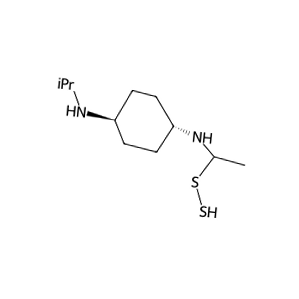 CC(C)N[C@H]1CC[C@H](NC(C)SS)CC1